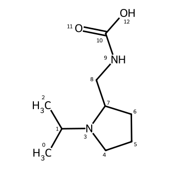 CC(C)N1CCCC1CNC(=O)O